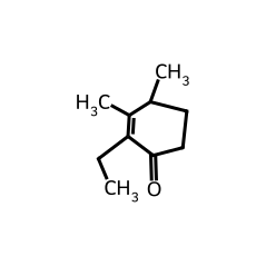 CCC1=C(C)C(C)CCC1=O